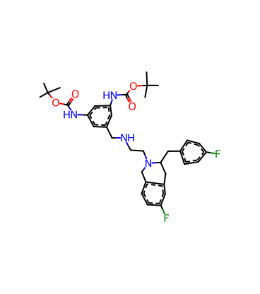 CC(C)(C)OC(=O)Nc1cc(CNCCN2Cc3ccc(F)cc3CC2Cc2ccc(F)cc2)cc(NC(=O)OC(C)(C)C)c1